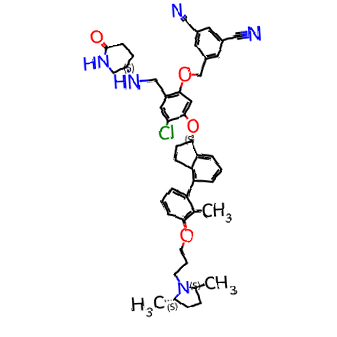 Cc1c(OCCCN2[C@@H](C)CC[C@@H]2C)cccc1-c1cccc2c1CC[C@@H]2Oc1cc(OCc2cc(C#N)cc(C#N)c2)c(CN[C@H]2CCC(=O)NC2)cc1Cl